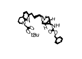 CC(C)(C)OC(=O)N1CCCc2ccc(CCCN3C[C@@H]4C(NC(=O)OCc5ccccc5)[C@@H]4C3)nc21